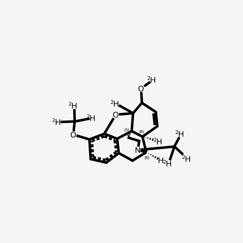 [2H]OC1C=C[C@@]2([2H])[C@H]3Cc4ccc(OC([2H])([2H])[2H])c5c4[C@@]2(CCN3C([2H])([2H])[2H])C1([2H])O5